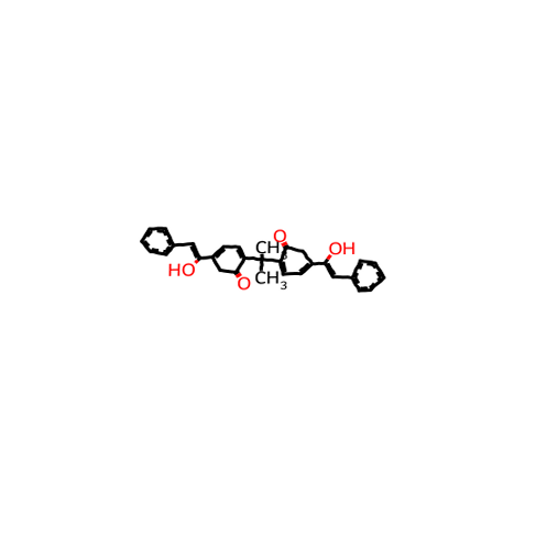 CC(C)(C1=CC=C(C(O)=Cc2ccccc2)CC1=O)C1=CC=C(C(O)=Cc2ccccc2)CC1=O